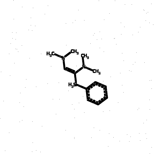 CN(C)C=C([SiH2]c1ccccc1)N(C)C